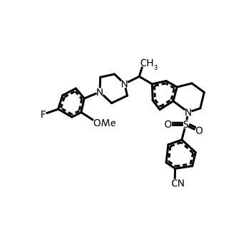 COc1cc(F)ccc1N1CCN(C(C)c2ccc3c(c2)CCCN3S(=O)(=O)c2ccc(C#N)cc2)CC1